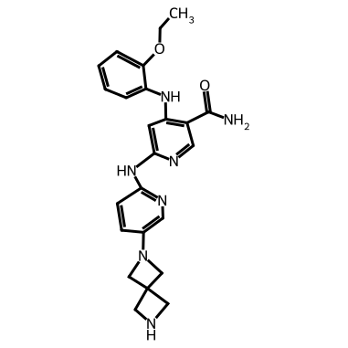 CCOc1ccccc1Nc1cc(Nc2ccc(N3CC4(CNC4)C3)cn2)ncc1C(N)=O